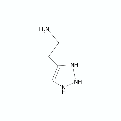 NCCC1=CNNN1